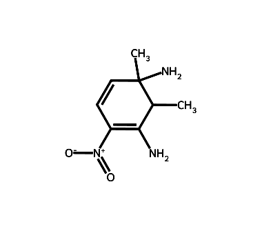 CC1C(N)=C([N+](=O)[O-])C=CC1(C)N